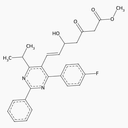 COC(=O)CC(=O)CC(O)/C=C/c1c(-c2ccc(F)cc2)nc(-c2ccccc2)nc1C(C)C